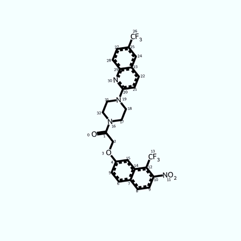 O=C(COc1ccc2ccc([N+](=O)[O-])c(C(F)(F)F)c2c1)N1CCN(c2ccc3cc(C(F)(F)F)ccc3n2)CC1